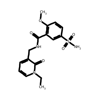 CCn1cccc(CNC(=O)c2cc(S(N)(=O)=O)ccc2OC)c1=O